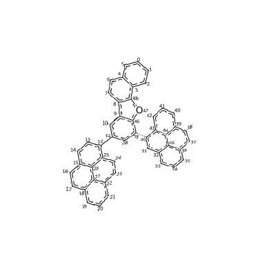 c1ccc2c(c1)ccc1c3cc(-c4ccc5ccc6cccc7ccc4c5c67)cc(-c4cc5cccc6ccc7cccc4c7c65)c3oc21